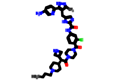 Nc1ccc(-c2[nH]nc(C(F)(F)F)c2Cc2cnc(C(=O)Nc3ccc(C(=O)N4CCN(C(=O)[C@@H](C5CCN(CCCC(=O)O)CC5)C5CNC5)CC4)c(Cl)c3)[nH]2)nc1